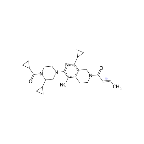 C/C=C/C(=O)N1CCc2c(C#N)c(N3CCN(C(=O)C4CC4)C(C4CC4)C3)nc(C3CC3)c2C1